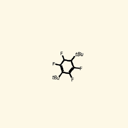 CC(C)(C)C1=C(F)C(F)C(C(C)(C)C)C(F)=C1F